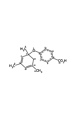 CC1=CC(C)(Oc2ccc(C(=O)O)cc2)CC(C)=C1